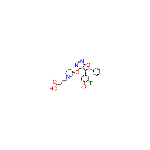 COc1ccc(-c2c(-c3ccccc3)oc3ncnc(O[C@@H]4CCCN(CCCC(=O)O)C4)c23)cc1F